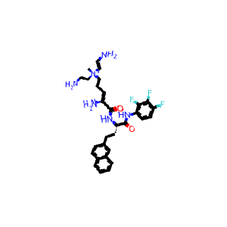 C[N+](CCN)(CCN)CCC[C@H](N)C(=O)N[C@@H](CCc1ccc2ccccc2c1)C(=O)Nc1ccc(F)c(F)c1F